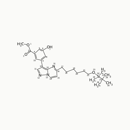 COC(=O)c1cc(O)cc(-c2cnn3ccc(CCCCCCO[Si](C)(C)C(C)(C)C)nc23)c1